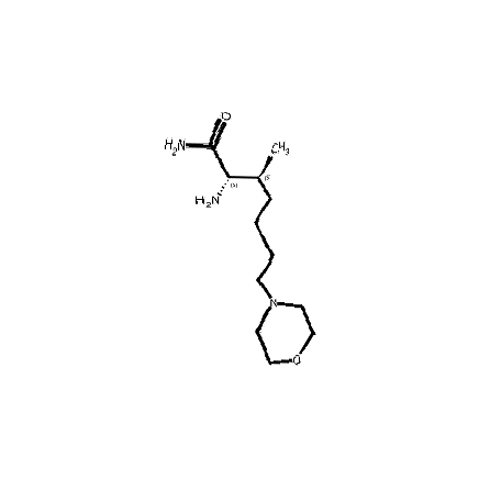 C[C@@H](CCCCN1CCOCC1)[C@H](N)C(N)=O